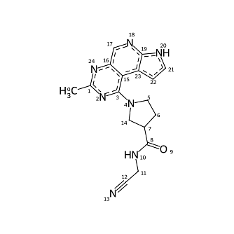 Cc1nc(N2CCC(C(=O)NCC#N)C2)c2c(cnc3[nH]ccc32)n1